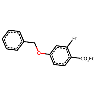 CCOC(=O)c1ccc(OCc2ccccc2)cc1CC